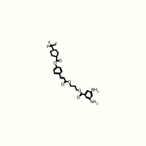 Nc1cc(N)cc(C(=O)OCCCOC(=O)/C=C/c2ccc(OC(=O)C3CCC(C(F)(F)F)CC3)cc2)c1